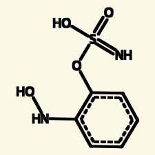 N=S(=O)(O)Oc1ccccc1NO